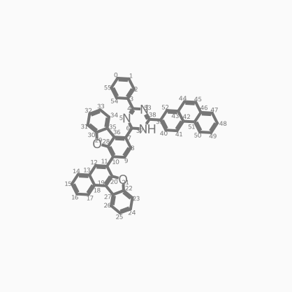 c1ccc(C2=NC(c3ccc(-c4cc5ccccc5c5c4oc4ccccc45)c4oc5ccccc5c34)NC(c3ccc4c(ccc5ccccc54)c3)=N2)cc1